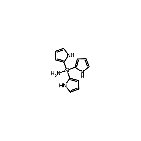 N[Si](c1ccc[nH]1)(c1ccc[nH]1)c1ccc[nH]1